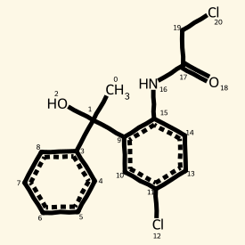 CC(O)(c1ccccc1)c1cc(Cl)ccc1NC(=O)CCl